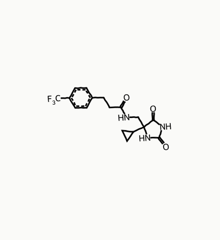 O=C(CCc1ccc(C(F)(F)F)cc1)NCC1(C2CC2)NC(=O)NC1=O